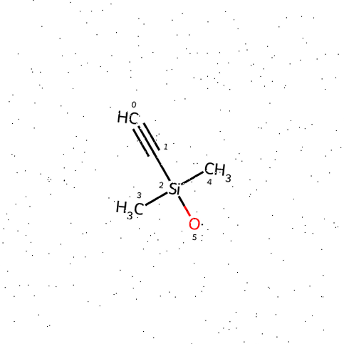 C#C[Si](C)(C)[O]